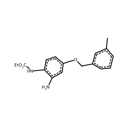 CCOC(=O)Nc1ccc(OCc2cccc(C)c2)cc1N